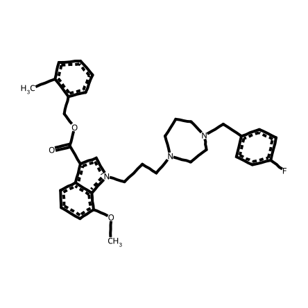 COc1cccc2c(C(=O)OCc3ccccc3C)cn(CCCN3CCCN(Cc4ccc(F)cc4)CC3)c12